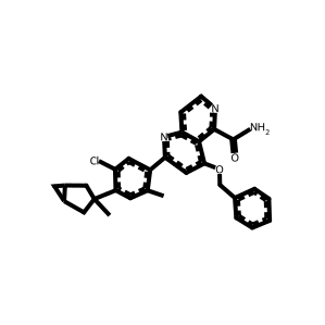 Cc1cc(C2(C)CC3CC3C2)c(Cl)cc1-c1cc(OCc2ccccc2)c2c(C(N)=O)nccc2n1